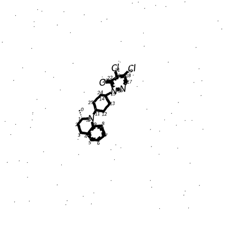 C[C@H]1CCc2ccccc2N1C1CCC(n2ncc(Cl)c(Cl)c2=O)CC1